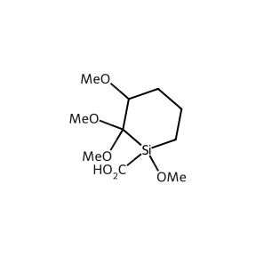 COC1CCC[Si](OC)(C(=O)O)C1(OC)OC